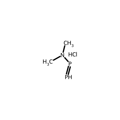 CN(C)P=P.Cl